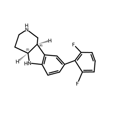 Fc1cccc(F)c1-c1ccc2c(c1)[C@@H]1CNCC[C@@H]1N2